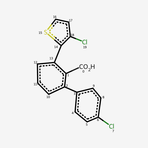 O=C(O)c1c(-c2ccc(Cl)cc2)c[c]cc1-c1sccc1Cl